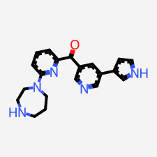 O=C(c1cncc(-c2cc[nH]c2)c1)c1cccc(N2CCCNCC2)n1